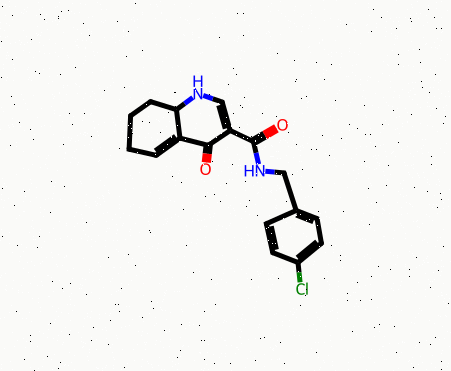 O=C(NCc1ccc(Cl)cc1)C1=CNC2CCCC=C2C1=O